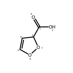 O=C(O)C1C=COO1